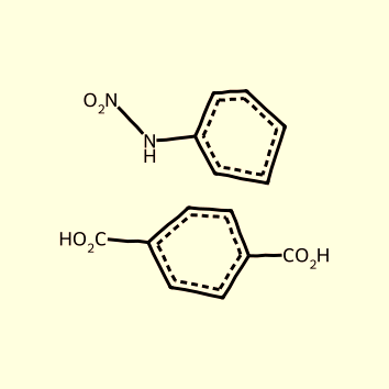 O=C(O)c1ccc(C(=O)O)cc1.O=[N+]([O-])Nc1ccccc1